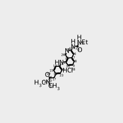 CCNC(=O)Nc1cc2cccc(Nc3ccc(CC(=O)N(C)C)cc3)c2cn1.Cl